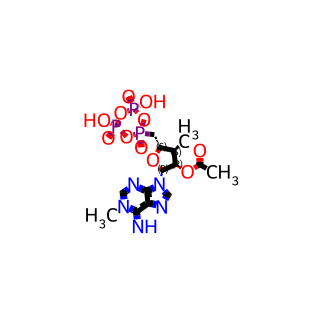 CC(=O)O[C@@H]1[C@H](C)[C@@H](CP2(=O)OP(=O)(O)OP(=O)(O)O2)O[C@H]1n1cnc2c(=N)n(C)cnc21